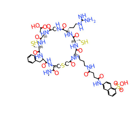 CNC(=O)[C@@H]1CSCC(=O)N[C@@H](CCCCNC(=O)CCC(=O)Nc2ccc3c(S(=O)(=O)O)cccc3c2)C(=O)N[C@@H](CS)C(=O)N[C@@H](CCCNC(=N)N)C(=O)NCC(=O)N[C@@H](CC(=O)O)C(=O)N[C@@H](CS)C(=O)NC(Cc2ccccc2)C(=O)N1